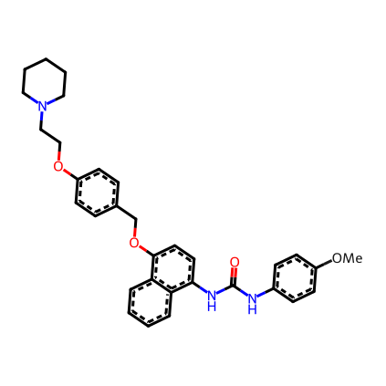 COc1ccc(NC(=O)Nc2ccc(OCc3ccc(OCCN4CCCCC4)cc3)c3ccccc23)cc1